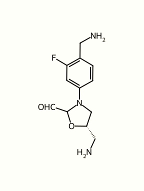 NCc1ccc(N2C[C@H](CN)OC2C=O)cc1F